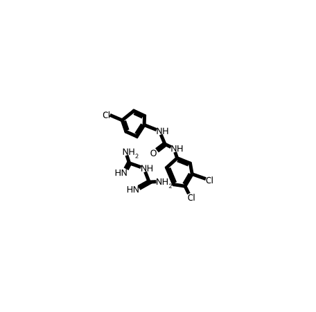 N=C(N)NC(=N)N.O=C(Nc1ccc(Cl)cc1)Nc1ccc(Cl)c(Cl)c1